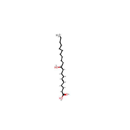 CCCCCCCCCCC(O)CCCCCCCCC(=O)O